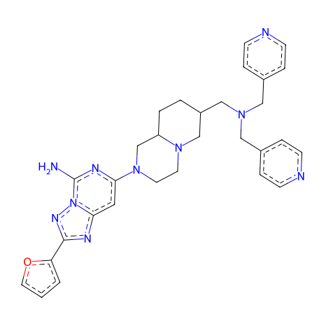 Nc1nc(N2CCN3CC(CN(Cc4ccncc4)Cc4ccncc4)CCC3C2)cc2nc(-c3ccco3)nn12